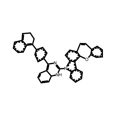 C1=CC2=C(c3ccc(C4=c5ccccc5=CCC4)cc3)N=C(n3c4ccccc4c4c5c(ccc43)C=Cc3ccccc3O5)NC2C=C1